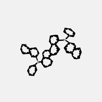 c1ccc(N(c2ccc3ccccc3c2)c2cccc3c2ccc2c4cccc(N(c5ccccc5)c5ccc6ccccc6c5)c4ccc32)cc1